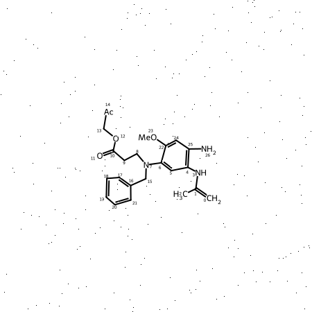 C=C(C)Nc1cc(N(CCC(=O)OCC(C)=O)Cc2ccccc2)c(OC)cc1N